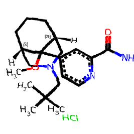 COC1(c2ccnc(C(N)=O)c2)[C@@H]2CCC[C@H]1CN(CC(C)(C)C)C2.Cl